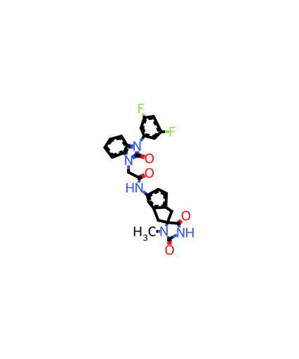 CN1C(=O)NC(=O)C12Cc1ccc(NC(=O)Cn3c(=O)n(-c4cc(F)cc(F)c4)c4ccccc43)cc1C2